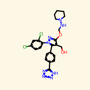 OCc1c(OCNN2CCCCC2)nn(-c2ccc(Cl)cc2Cl)c1-c1ccc(-c2nnn[nH]2)cc1